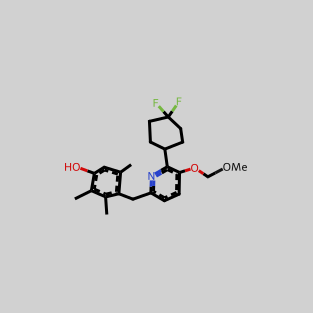 COCOc1ccc(Cc2c(C)cc(O)c(C)c2C)nc1C1CCC(F)(F)CC1